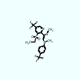 C=N/C(=C\N(C)c1ccc(C(F)(F)F)cc1)c1ncc(C(F)(F)F)cc1S(=O)(=O)CC